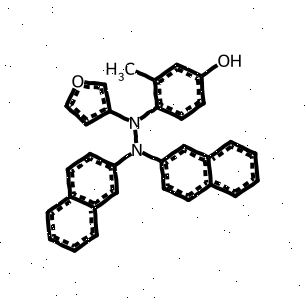 Cc1cc(O)ccc1N(c1ccoc1)N(c1ccc2ccccc2c1)c1ccc2ccccc2c1